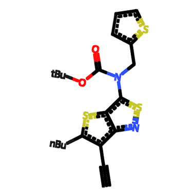 C#Cc1c(CCCC)sc2c(N(Cc3cccs3)C(=O)OC(C)(C)C)snc12